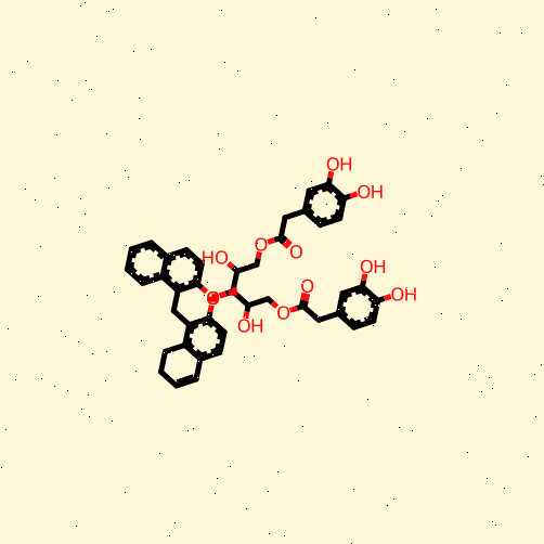 O=C(Cc1ccc(O)c(O)c1)OCC(O)COc1ccc2c(c1Cc1c(OCC(O)COC(=O)Cc3ccc(O)c(O)c3)ccc3ccccc13)CCC=C2